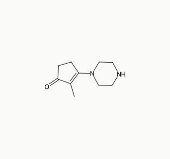 CC1=C(N2CCNCC2)CCC1=O